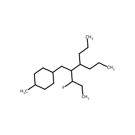 CCCC(CCC)C(CC1CCC(C)CC1)C(F)CC